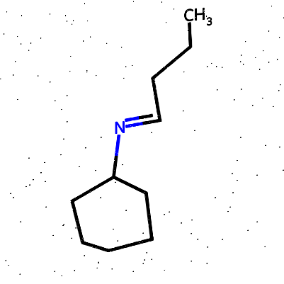 CCC/C=N/C1CCCCC1